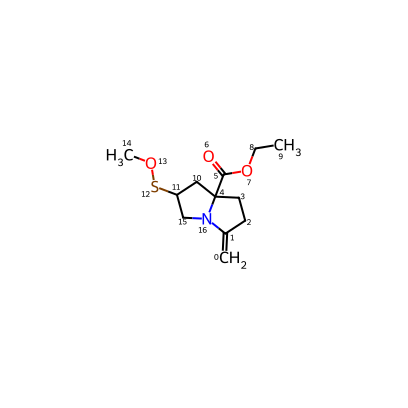 C=C1CCC2(C(=O)OCC)CC(SOC)CN12